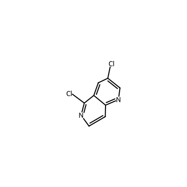 Clc1cnc2ccnc(Cl)c2c1